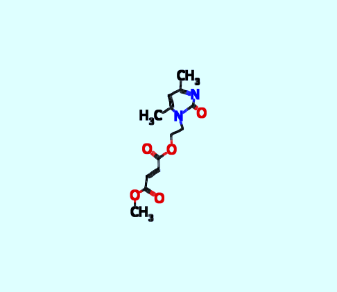 COC(=O)/C=C/C(=O)OCCn1c(C)cc(C)nc1=O